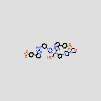 C[C@H](O)C(N1CCN(c2cccc(Nc3nc4c(-c5ccc(S(C)(=O)=O)cc5)cccn4n3)c2)CC1)N(c1cccc(N2CCC(N3CCOCC3)CC2)c1)c1nc2c(-c3ccc(S(C)(=O)=O)cc3)cccn2n1